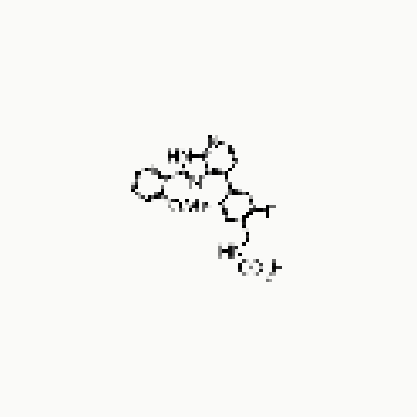 COc1ccccc1-c1nc2c(-c3ccc(CNC(=O)O)c(F)c3)ccnc2[nH]1